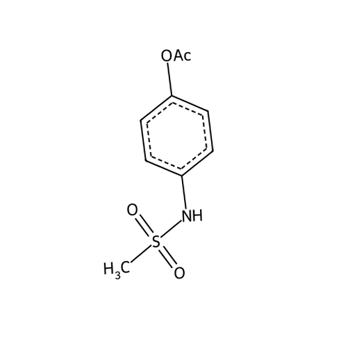 CC(=O)Oc1ccc(NS(C)(=O)=O)cc1